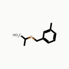 Cc1cccc(CSC(C)C(=O)O)c1